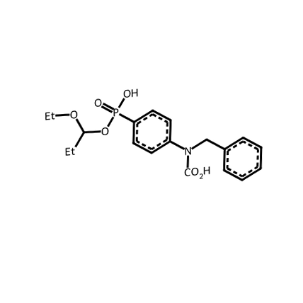 CCOC(CC)OP(=O)(O)c1ccc(N(Cc2ccccc2)C(=O)O)cc1